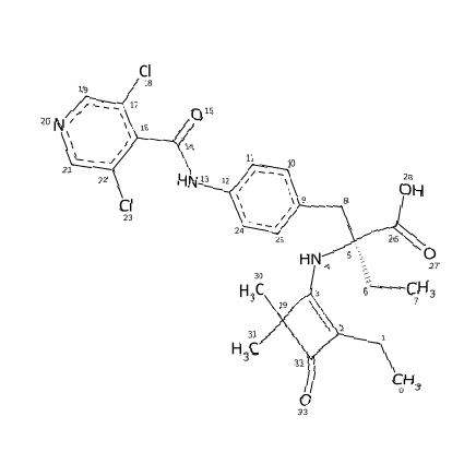 CCC1=C(N[C@@](CC)(Cc2ccc(NC(=O)c3c(Cl)cncc3Cl)cc2)C(=O)O)C(C)(C)C1=O